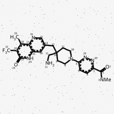 CNC(=O)c1ccc(N2CCC(CN)(Cc3cnc4c(C)c(C(F)(F)F)c(=O)[nH]c4c3)CC2)nn1